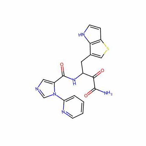 NC(=O)C(=O)C(Cc1csc2cc[nH]c12)NC(=O)c1cncn1-c1ccccn1